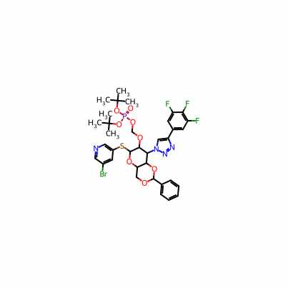 CC(C)(C)OP(=O)(OCOC1C(Sc2cncc(Br)c2)OC2COC(c3ccccc3)OC2C1n1cc(-c2cc(F)c(F)c(F)c2)nn1)OC(C)(C)C